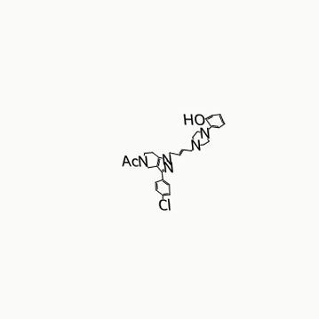 CC(=O)N1CCc2c(c(-c3ccc(Cl)cc3)nn2CC=CCN2CCN(c3ccccc3O)CC2)C1